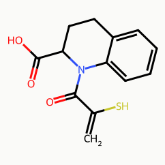 C=C(S)C(=O)N1c2ccccc2CCC1C(=O)O